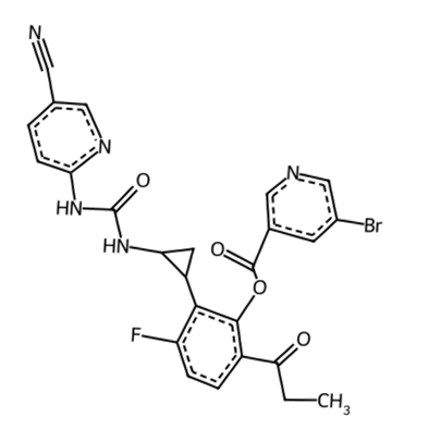 CCC(=O)c1ccc(F)c(C2CC2NC(=O)Nc2ccc(C#N)cn2)c1OC(=O)c1cncc(Br)c1